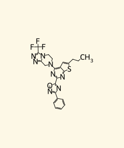 CCCc1cc2c(N3CCn4c(nnc4C(F)(F)F)C3)nc(-c3nc(-c4ccccc4)no3)nc2s1